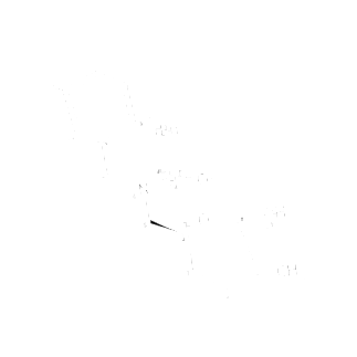 CC1CC[C@@H](CN(Cc2ccccc2)[S@@+]([O-])C(C)(C)C)OC1O